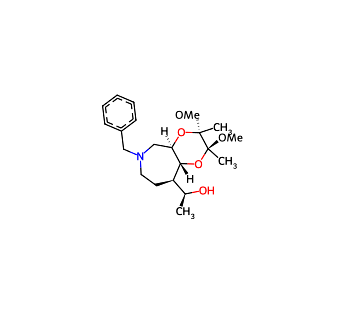 CO[C@@]1(C)O[C@@H]2[C@@H]([C@H](C)O)CCN(Cc3ccccc3)C[C@H]2O[C@]1(C)OC